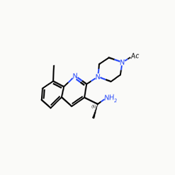 CC(=O)N1CCN(c2nc3c(C)cccc3cc2[C@H](C)N)CC1